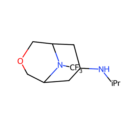 CC(C)NC1CC2COCC(C1)N2C(F)(F)F